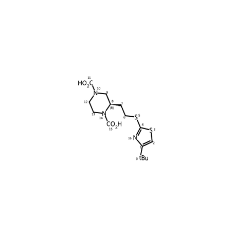 CC(C)(C)c1csc(SCC[C@@H]2CN(C(=O)O)CCN2C(=O)O)n1